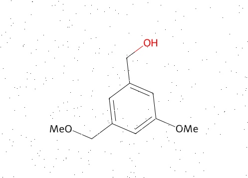 COCc1cc(CO)cc(OC)c1